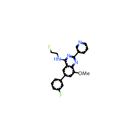 COc1cc(-c2cccc(F)c2)cc2c(NCCF)nc(-c3cccnc3)nc12